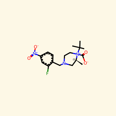 C[C@H]1CN(Cc2ccc([N+](=O)[O-])cc2F)CC[N+]1(C(=O)[O-])C(C)(C)C